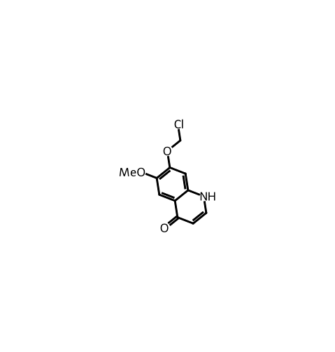 COc1cc2c(=O)cc[nH]c2cc1OCCl